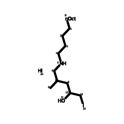 CCCCCCCCCCCCNCC(C)CC(O)CI.I